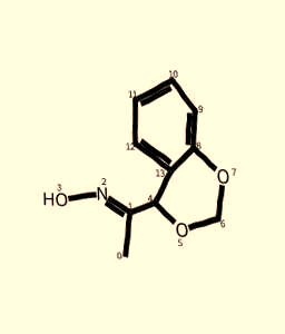 CC(=NO)C1OCOc2ccccc21